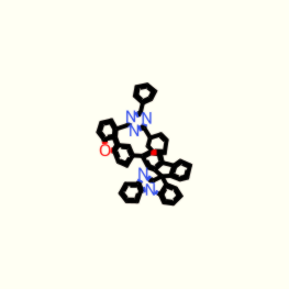 C1=CCC(c2nc(-c3ccccc3)nc(-c3cccc4oc5ccc(-c6ccc7c(c6)C6(c8ccccc8-7)c7ccccc7-n7c6nc6ccccc67)cc5c34)n2)C=C1